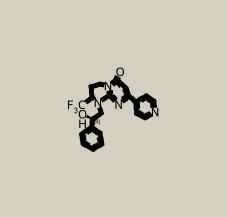 O=c1cc(-c2ccncc2)nc2n1CCC(C(F)(F)F)N2C[C@H](O)c1ccccc1